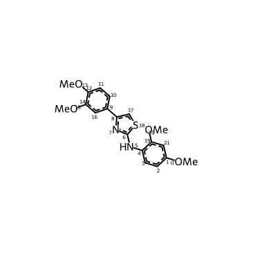 COc1ccc(Nc2nc(-c3ccc(OC)c(OC)c3)cs2)c(OC)c1